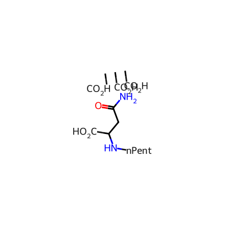 CC(=O)O.CC(=O)O.CC(=O)O.CCCCCNC(CC(N)=O)C(=O)O